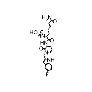 NC(=O)C=CCCC(NC(=O)O)C(=O)Nc1cccn(Cc2cc3cc(F)ccc3[nH]2)c1=O